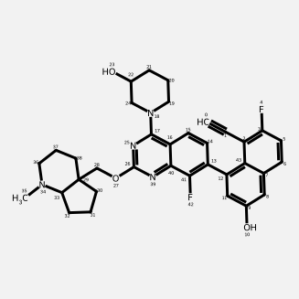 C#Cc1c(F)ccc2cc(O)cc(-c3ccc4c(N5CCCC(O)C5)nc(OCC56CCCC5N(C)CCC6)nc4c3F)c12